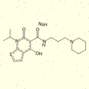 CC(C)n1c(=O)c(C(=O)NCCCN2CCCCC2)c(O)c2ccsc21.[NaH]